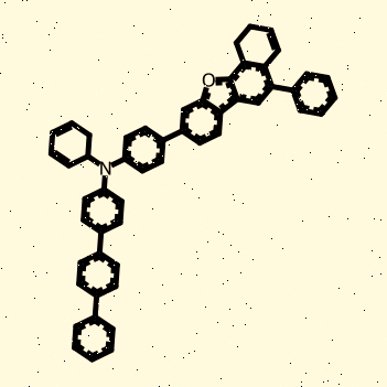 C1=CCC(N(c2ccc(-c3ccc(-c4ccccc4)cc3)cc2)c2ccc(-c3ccc4c(c3)oc3c5c(c(-c6ccccc6)cc34)C=CCC5)cc2)C=C1